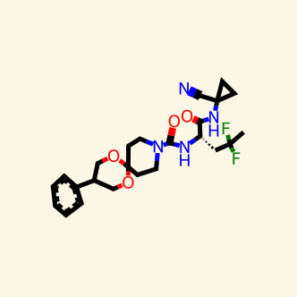 CC(F)(F)C[C@H](NC(=O)N1CCC2(CC1)OCC(c1ccccc1)CO2)C(=O)NC1(C#N)CC1